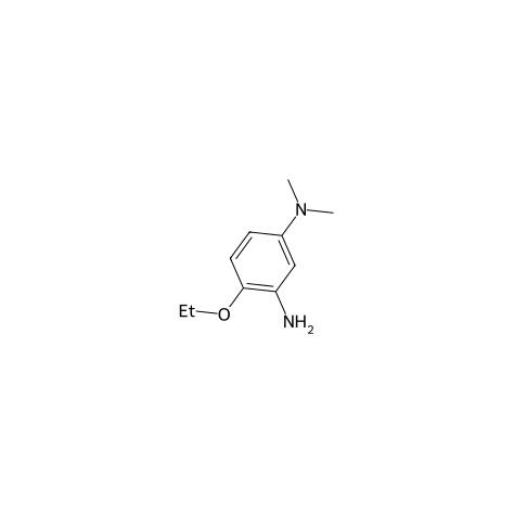 CCOc1ccc(N(C)C)cc1N